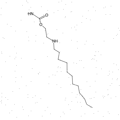 CCCCCCCCCCCCNCCOC([NH])=O